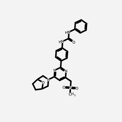 CS(=O)(=O)Cc1cc(N2CC3CCC(C2)O3)nc(-c2ccc(NC(=O)Nc3ccccc3)cc2)n1